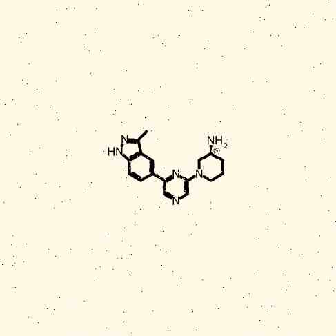 Cc1n[nH]c2ccc(-c3cncc(N4CCC[C@H](N)C4)n3)cc12